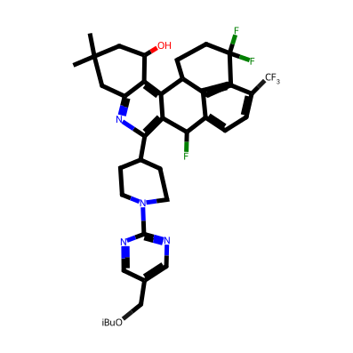 CC(C)COCc1cnc(N2CCC(c3nc4c(c(C5CCC(F)(F)CC5)c3C(F)c3ccc(C(F)(F)F)cc3)C(O)CC(C)(C)C4)CC2)nc1